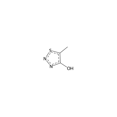 Cc1snnc1O